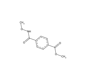 CONC(=O)c1ccc(C(=O)OC)cc1